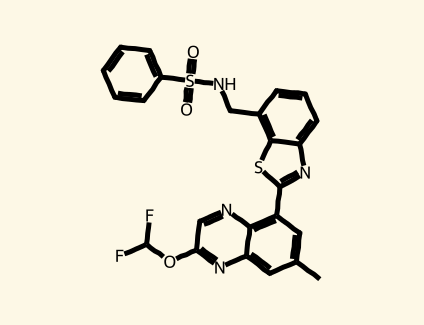 Cc1cc(-c2nc3cccc(CNS(=O)(=O)c4ccccc4)c3s2)c2ncc(OC(F)F)nc2c1